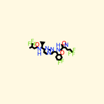 CC(CC(=O)NC(c1ccn2cc(C(NC(=O)c3conc3CCC(F)(F)F)C3CCC(F)(F)CC3)nc2n1)C1CC1)C(F)(F)F